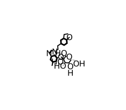 Cc1cc(O[C@]2(O)[C@H](O)O[C@H](CO)[C@@H](O)[C@@H]2O)c2c(c1)ncn2CCc1ccc2c(c1)CCO2